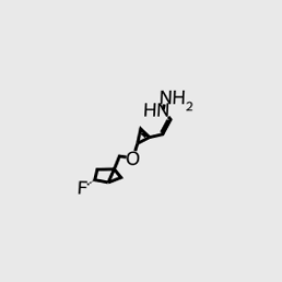 NN/C=C\C1=CC1OCC12CC1[C@H](F)C2